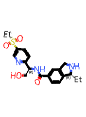 CC[C@H]1NCc2cc(C(=O)N[C@@H](CO)c3ccc(S(=O)(=O)CC)cn3)ccc21